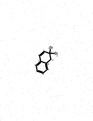 BrC1(Br)C=Cc2ccccc2C1